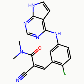 CN(C)C(=O)C(C#N)=Cc1cc(Nc2ncnc3[nH]ccc23)ccc1F